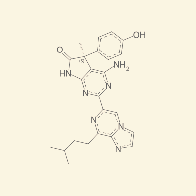 CC(C)CCc1nc(-c2nc(N)c3c(n2)NC(=O)[C@@]3(C)c2ccc(O)cc2)cn2ccnc12